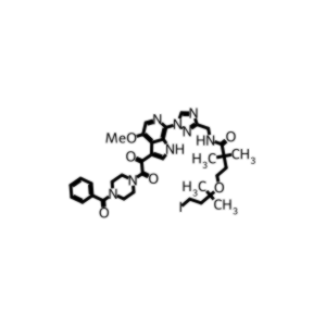 COc1cnc(-n2cnc(CNC(=O)C(C)(C)CCOC(C)(C)CCI)n2)c2[nH]cc(C(=O)C(=O)N3CCN(C(=O)c4ccccc4)CC3)c12